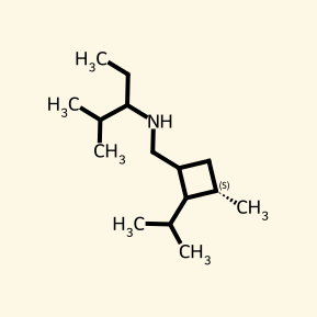 CCC(NCC1C[C@H](C)C1C(C)C)C(C)C